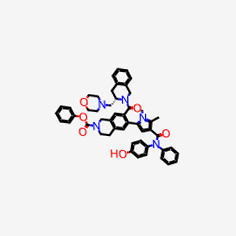 Cc1c(C(=O)N(c2ccccc2)c2ccc(O)cc2)cc(-c2cc3c(cc2C(=O)N2Cc4ccccc4C[C@H]2CN2CCOCC2)CN(C(=O)Oc2ccccc2)CC3)n1C